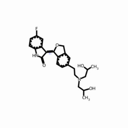 CC(O)CN(CCc1ccc2c(c1)CO/C2=C1/C(=O)Nc2ccc(F)cc21)CC(C)O